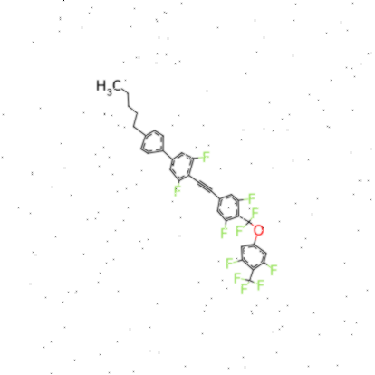 CCCCCc1ccc(-c2cc(F)c(C#Cc3cc(F)c(C(F)(F)Oc4cc(F)c(C(F)(F)F)c(F)c4)c(F)c3)c(F)c2)cc1